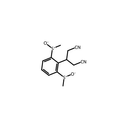 C[S+]([O-])c1cccc([S+](C)[O-])c1C(CC#N)CC#N